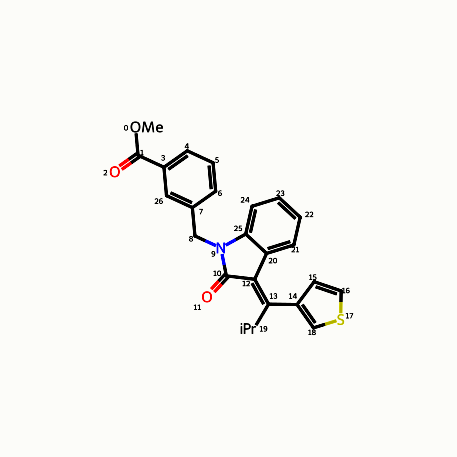 COC(=O)c1cccc(CN2C(=O)/C(=C(/c3ccsc3)C(C)C)c3ccccc32)c1